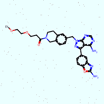 CCOCCOCCC(=O)N1CCc2cc(Cn3nc(-c4ccc5oc(N)nc5c4)c4c(N)ncnc43)ccc2C1